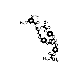 C=C(C)C(=O)Oc1ccc(Oc2nc(Oc3ccc(OCCCCCOC(=O)c4cc(N)cc(N)c4)cc3)nc(Oc3ccc(OC(=O)C(=C)C)cc3)n2)cc1